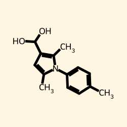 Cc1ccc(-n2c(C)cc(C(O)O)c2C)cc1